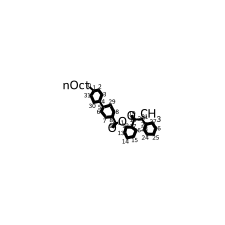 CCCCCCCCc1ccc(-c2ccc(C(=O)Oc3ccccc3C(=O)C(C)c3ccccc3)cc2)cc1